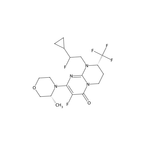 C[C@@H]1COCCN1c1nc2n(c(=O)c1F)CC[C@@H](C(F)(F)F)N2CC(F)C1CC1